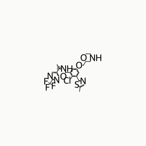 Cc1cnc(-c2cc(OCC3CNCCO3)cc(C(=O)N[C@H](C)c3cnc(C(F)(F)F)nc3)c2Cl)s1